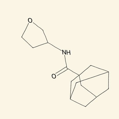 O=C(NC1CCOC1)C12CC3CC(CC(C3)C1)C2